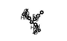 CC(C)(C)OC(=O)N1CCCC1c1nc2ccc(C3CCC(c4ccc5nc(C6CCCN6C(=O)OC(C)(C)C)[nH]c5c4)N3c3cc(F)c(N4CCC(c5ccccc5)CC4)c(F)c3)cc2[nH]1